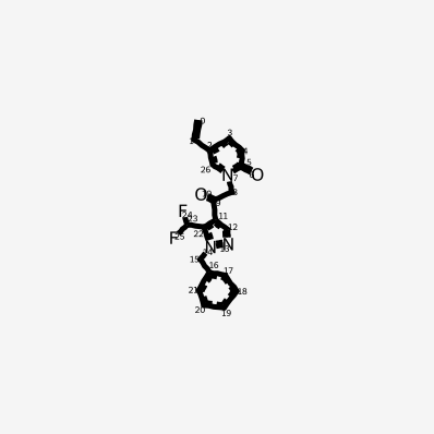 C=Cc1ccc(=O)n(CC(=O)c2cnn(Cc3ccccc3)c2C(F)F)c1